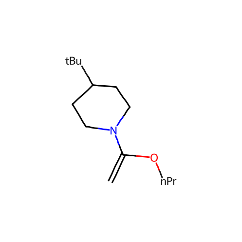 C=C(OCCC)N1CCC(C(C)(C)C)CC1